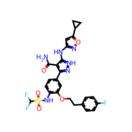 NC(=O)c1c(-c2ccc(NS(=O)(=O)C(F)F)c(OCCc3ccc(F)cc3)c2)n[nH]c1Nc1cc(C2CC2)on1